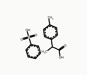 Cc1ccc(C(C)C(=O)O)cc1.O=S(=O)(O)c1ccccc1